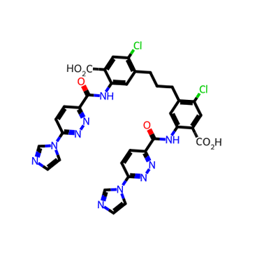 O=C(Nc1cc(CCCc2cc(NC(=O)c3ccc(-n4ccnc4)nn3)c(C(=O)O)cc2Cl)c(Cl)cc1C(=O)O)c1ccc(-n2ccnc2)nn1